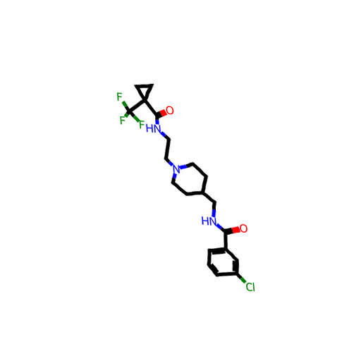 O=C(NCC1CCN(CCNC(=O)C2(C(F)(F)F)CC2)CC1)c1cccc(Cl)c1